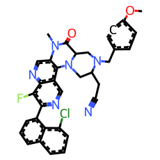 COc1ccc(CN2CC3C(=O)N(C)c4cnc5c(F)c(-c6cccc7cccc(Cl)c67)ncc5c4N3CC2CC#N)cc1